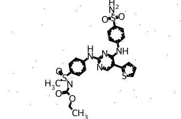 CCOC(=O)N=S(C)(=O)c1ccc(Nc2ncc(-c3cccs3)c(Nc3ccc(S(N)(=O)=O)cc3)n2)cc1